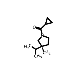 CC(C)[C@@]1(C)CCN(C(=O)C2CC2)C1